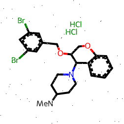 CNC1CCN(C2c3ccccc3OCC2OCc2cc(Br)cc(Br)c2)CC1.Cl.Cl